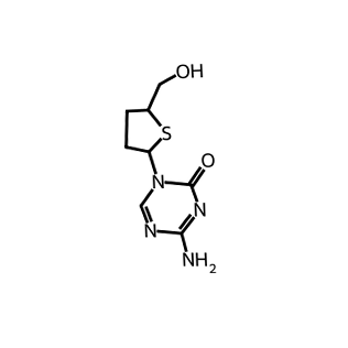 Nc1ncn(C2CCC(CO)S2)c(=O)n1